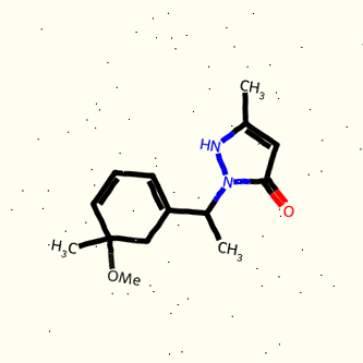 COC1(C)C=CC=C(C(C)n2[nH]c(C)cc2=O)C1